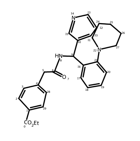 CCOC(=O)c1ccc(CC(=O)NC(c2cccnc2)c2ccccc2N2CCCCC2)cc1